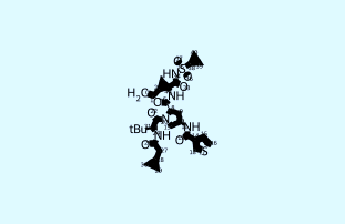 C=CC1CC1(NC(=O)[C@@H]1C[C@@H](NC(=O)c2ccsc2)CN1C(=O)[C@@H](NC(=O)CC1CC1)C(C)(C)C)C(=O)NS(=O)(=O)C1CC1